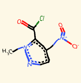 Cn1ncc([N+](=O)[O-])c1C(=O)Cl